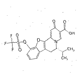 CC(C)[C@@H]1Cc2c(oc3c(OS(=O)(=O)C(F)(F)F)cccc23)-c2cc(=O)c(C(=O)O)cn21